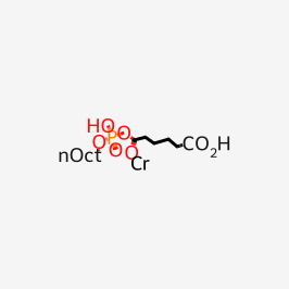 CCCCCCCCOP(=O)(O)OC(=O)CCCCC(=O)O.[Cr]